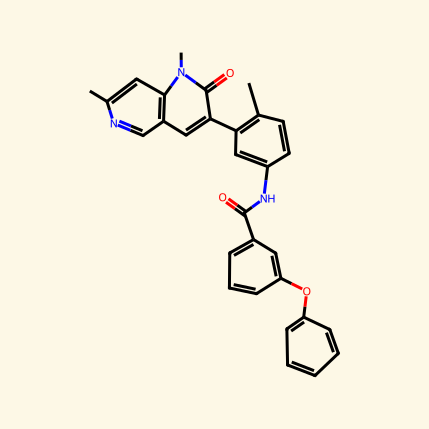 Cc1cc2c(cn1)cc(-c1cc(NC(=O)c3cccc(Oc4ccccc4)c3)ccc1C)c(=O)n2C